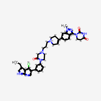 CCc1c[nH]c2ncc(-c3cccc(N4CCN(CCCN5CC=C(c6ccc7c(N8CCC(=O)NC8=O)nn(C)c7c6)CC5)CC4=O)c3)c(Cl)c12